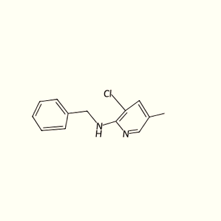 Cc1cnc(NCc2ccccc2)c(Cl)c1